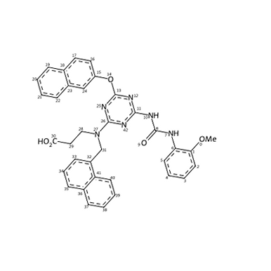 COc1ccccc1NC(=O)Nc1nc(Oc2ccc3ccccc3c2)nc(N(CCC(=O)O)Cc2cccc3ccccc23)n1